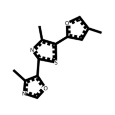 Cc1coc(-c2sc(-c3ocnc3C)nc2C)c1